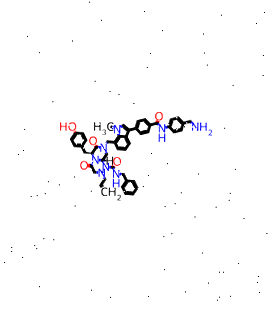 C=CCN1CC(=O)N2[C@@H](Cc3ccc(O)cc3)C(=O)N(Cc3cccc4c(-c5ccc(C(=O)Nc6ccc(CN)cc6)cc5)cn(C)c34)C[C@@H]2N1C(=O)NCc1ccccc1